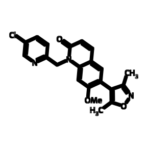 COc1cc2c(ccc(=O)n2Cc2ccc(Cl)cn2)cc1-c1c(C)noc1C